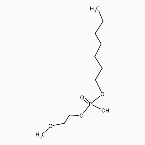 CCCCCCCOP(=O)(O)OCCOC